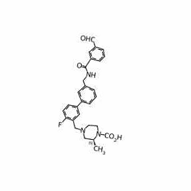 C[C@H]1CN(Cc2cc(-c3cccc(CNC(=O)c4cccc(C=O)c4)c3)ccc2F)CCN1C(=O)O